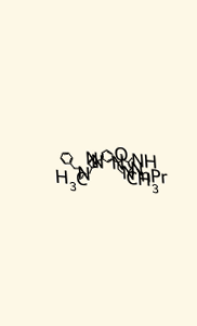 CCC/C=N/C1=C(C=N)C(=O)N(c2cccc(-n3cc(CN(C)CCc4ccccc4)cn3)c2)CCN1C